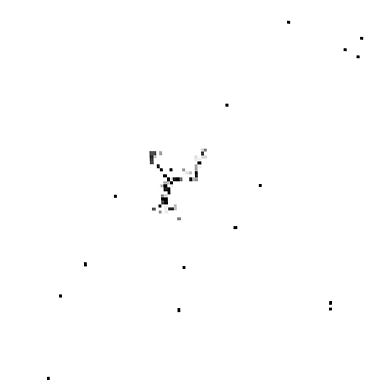 C=C(F)OBr